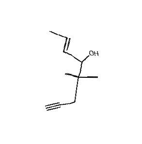 C#CCC(C)(C)C(O)C=CC